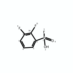 O=P(O)(F)c1cccc(F)c1F